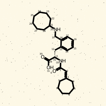 O=C(C=C1CCCCCC1)N[C@@H](Cc1ccccc1CNC1CCCCCCC1)C(=O)O